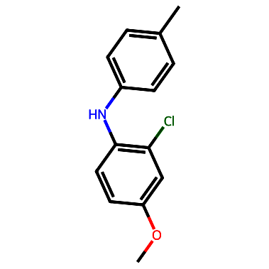 COc1ccc(Nc2ccc(C)cc2)c(Cl)c1